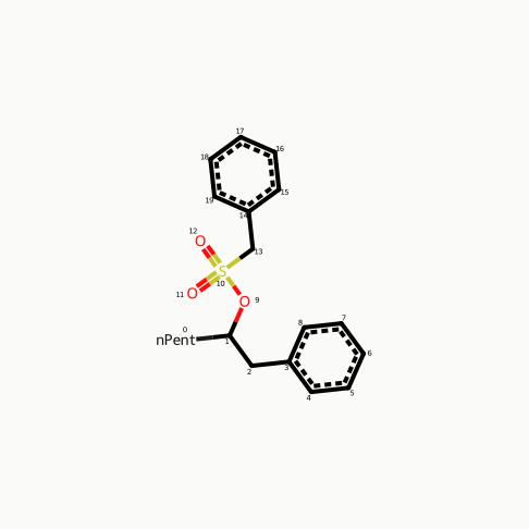 CCCCCC(Cc1ccccc1)OS(=O)(=O)Cc1ccccc1